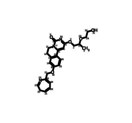 CC(COc1cc2n(c(=O)n1)CCc1cc(OCC3=CC=CCC=N3)ccc1-2)OCCO